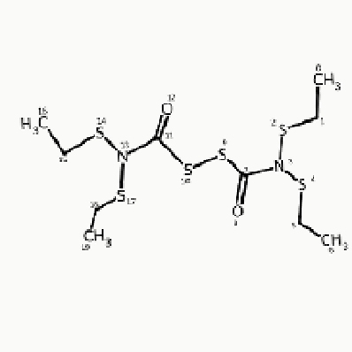 CCSN(SCC)C(=O)SSC(=O)N(SCC)SCC